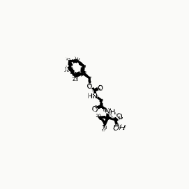 O=C(CNC(=O)OCc1ccccc1)NC1(C(=O)O)CC1